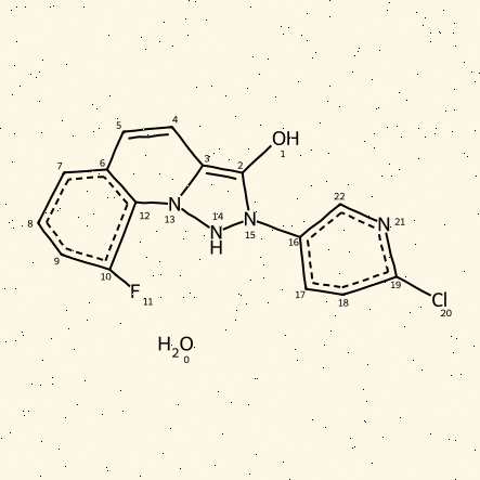 O.OC1=C2C=Cc3cccc(F)c3N2NN1c1ccc(Cl)nc1